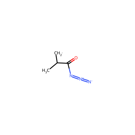 [CH2]C(C)C(=O)N=[N+]=[N-]